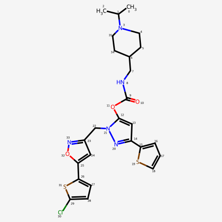 CC(C)N1CCC(CNC(=O)Oc2cc(-c3cccs3)nn2Cc2cc(-c3ccc(Cl)s3)on2)CC1